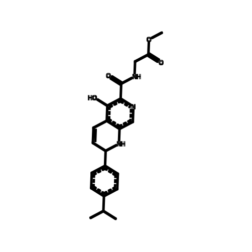 COC(=O)CNC(=O)c1ncc2c(c1O)C=CC(c1ccc(C(C)C)cc1)N2